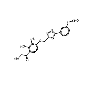 Cc1c(OCc2nnc(-c3cccc(OC=O)c3)s2)ccc(C(=O)CC(C)(C)C)c1O